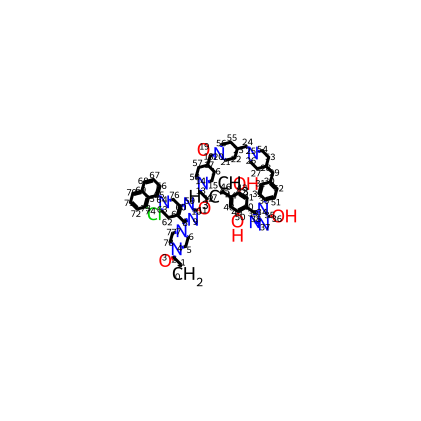 C=CC(=O)N1CCN(c2nc(OCCN3CCC(C(=O)N4CCC(CN5CCC(Cc6ccc(-n7c(O)nnc7-c7cc(O)c(C(C)C)cc7O)cc6)CC5)CC4)CC3)nc3c2CCN(c2cccc4cccc(Cl)c24)C3)CC1